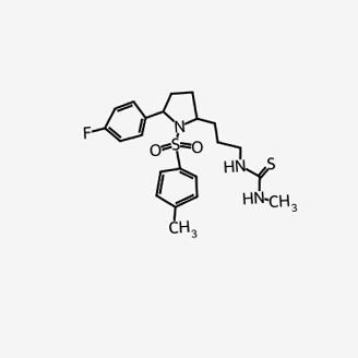 CNC(=S)NCCCC1CCC(c2ccc(F)cc2)N1S(=O)(=O)c1ccc(C)cc1